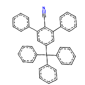 N#Cc1c(-c2ccccc2)cc(C(c2ccccc2)(c2ccccc2)c2ccccc2)cc1-c1ccccc1